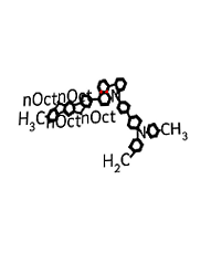 C=Cc1ccc(N(c2ccc(C)cc2)c2ccc(-c3ccc(N(c4ccc(-c5ccc6c(c5)C(CCCCCCCC)(CCCCCCCC)c5cc7c(cc5-6)C(CCCCCCCC)(CCCCCCCC)c5cc(C)ccc5-7)cc4)c4ccccc4-c4ccccc4)cc3)cc2)cc1